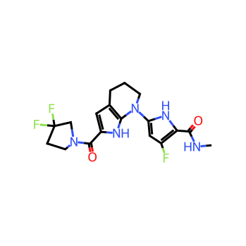 CNC(=O)c1[nH]c(N2CCCc3cc(C(=O)N4CCC(F)(F)C4)[nH]c32)cc1F